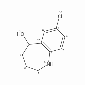 OC1CCCNc2ccc(Cl)cc21